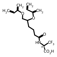 C=CC(=C)OCC(CCCC(=O)N[C@H](C(=O)O)C(F)(F)F)OC(=C)C=C